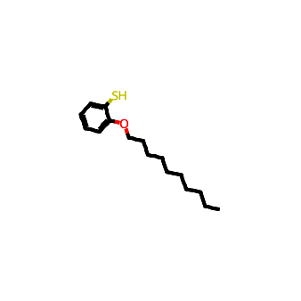 CCCCCCCCCCOc1ccccc1S